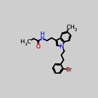 CCC(=O)NCCc1cn(CCCc2ccccc2Br)c2ccc(C)cc12